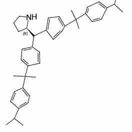 CC(C)c1ccc(C(C)(C)c2ccc(C(c3ccc(C(C)(C)c4ccc(C(C)C)cc4)cc3)[C@H]3CCCN3)cc2)cc1